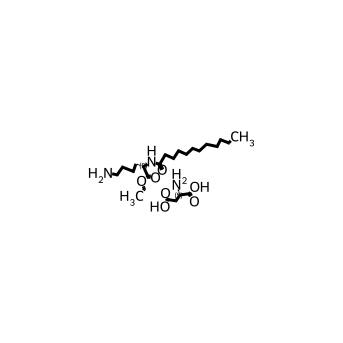 CCCCCCCCCCCC(=O)N[C@@H](CCCCN)C(=O)OCC.N[C@@H](CC(=O)O)C(=O)O